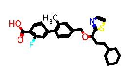 Cc1cc(COC(CCC2CCCCC2)c2nccs2)ccc1-c1ccc(C(=O)O)c(F)c1